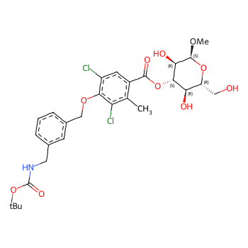 CO[C@H]1O[C@H](CO)[C@@H](O)[C@H](OC(=O)c2cc(Cl)c(OCc3cccc(CNC(=O)OC(C)(C)C)c3)c(Cl)c2C)[C@H]1O